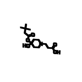 CC(C)(C)CC(=O)OC1(O)CCN(CCC(=O)O)CC1